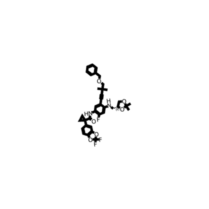 CC(C)(C#Cc1cc(NC(=O)C2(c3ccc4c(c3)OC(F)(F)O4)CC2)c(F)cc1NC[C@@H]1COC(C)(C)O1)COCc1ccccc1